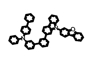 c1ccc(-c2ccc(N(c3ccccc3)c3cccc(-c4cccc(-c5ccc6c7ccccc7n(-c7ccc8c(c7)oc7ccccc78)c6c5)c4)c3)cc2)cc1